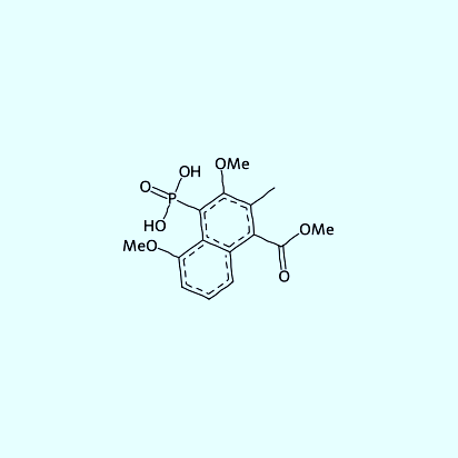 COC(=O)c1c(C)c(OC)c(P(=O)(O)O)c2c(OC)cccc12